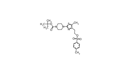 Cc1ccc(S(=O)(=O)OCCc2nc(N3CCN(C(=O)OC(C)(C)C)CC3)sc2C)cc1